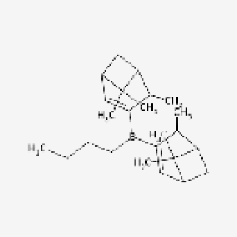 CCCCB(C1=CC2CC(C1C)C2(C)C)C1=CC2CC(C1C)C2(C)C